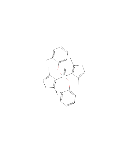 [CH2]=[Zr]([O]c1ccccc1C(F)(F)F)([O]c1ccccc1C(F)(F)F)([C]1=C(C)CC=C1C)[C]1=C(C)CC=C1C